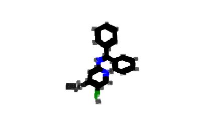 O=C(O)c1cc(N=C(c2ccccc2)c2ccccc2)ncc1F